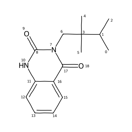 CC(C)C(C)(C)Cn1c(=O)[nH]c2ccccc2c1=O